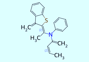 C=C(/C=C\C)N(/C(C)=c1\sc2ccccc2c1=C)c1ccccc1